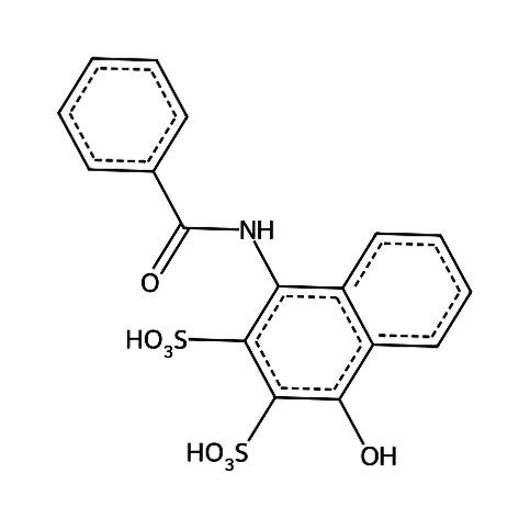 O=C(Nc1c(S(=O)(=O)O)c(S(=O)(=O)O)c(O)c2ccccc12)c1ccccc1